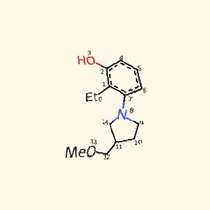 CCc1c(O)cccc1N1CCC(COC)C1